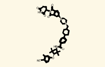 Cc1cc(O[C@H]2C(C)(C)[C@H](NC(=O)c3ccc(C4CCC(CN5CCN(c6ccc7c(c6)C(=O)N(C6CCC(=O)NC6=O)C7=O)CC5)CC4)cc3)C2(C)C)ccc1C#N